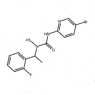 CC(c1ccccc1F)N(S)C(=O)Nc1ccc(Br)cn1